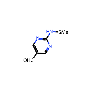 CSNc1ncc(C=O)cn1